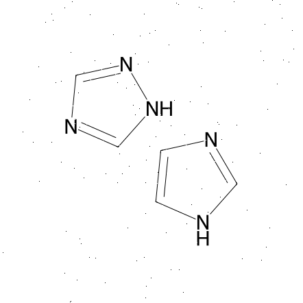 c1c[nH]cn1.c1nc[nH]n1